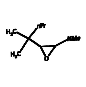 CCCC(C)(C)C1OC1NC